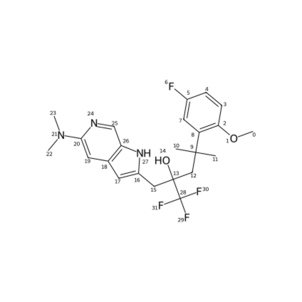 COc1ccc(F)cc1C(C)(C)CC(O)(Cc1cc2cc(N(C)C)ncc2[nH]1)C(F)(F)F